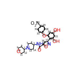 O=C(NC1CCN(C2CCOCC2)CC1)c1cc(-c2c(O)cc(O)cc2Oc2ccc([N+](=O)[O-])cc2)no1